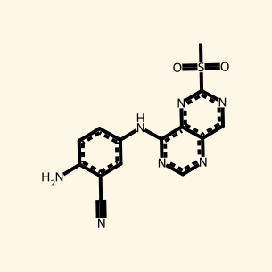 CS(=O)(=O)c1ncc2ncnc(Nc3ccc(N)c(C#N)c3)c2n1